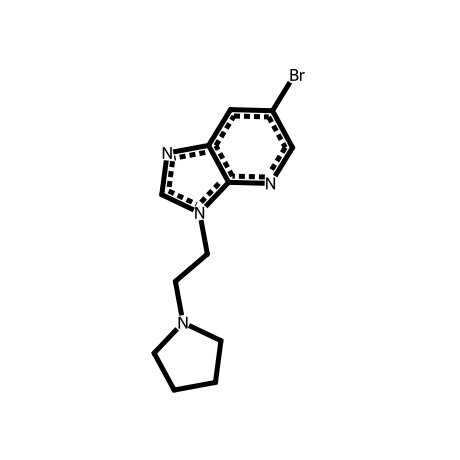 Brc1cnc2c(c1)ncn2CCN1CCCC1